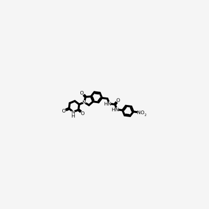 O=C1CCC(N2Cc3cc(CNC(=O)Nc4ccc([N+](=O)[O-])cc4)ccc3C2=O)C(=O)N1